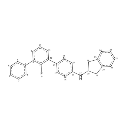 Fc1c(-c2ccccc2)cccc1-c1cnc(NC2Cc3ccccc3C2)cn1